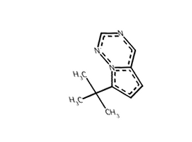 CC(C)(C)c1ccc2cncnn12